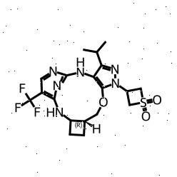 CC(C)c1nn(C2CS(=O)(=O)C2)c2c1Nc1ncc(C(F)(F)F)c(n1)NC1CC[C@H]1CO2